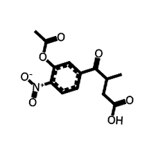 CC(=O)Oc1cc(C(=O)C(C)CC(=O)O)ccc1[N+](=O)[O-]